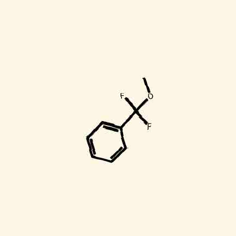 COC(F)(F)c1[c]cccc1